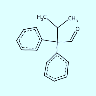 CC(C)C(C=O)(c1ccccc1)c1ccccc1